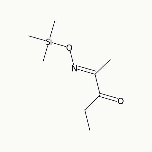 CCC(=O)C(C)=NO[Si](C)(C)C